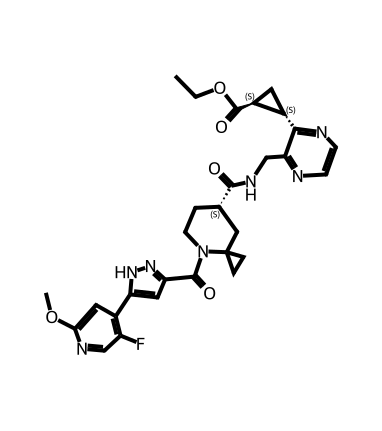 CCOC(=O)[C@H]1C[C@@H]1c1nccnc1CNC(=O)[C@H]1CCN(C(=O)c2cc(-c3cc(OC)ncc3F)[nH]n2)C2(CC2)C1